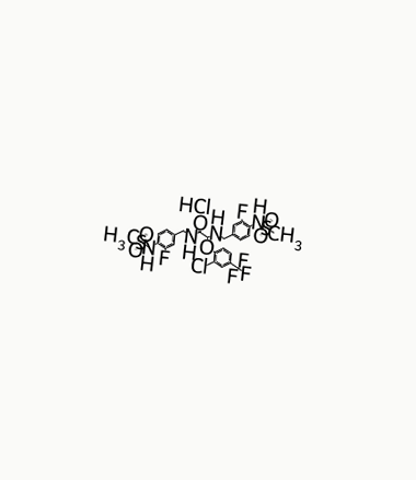 CS(=O)(=O)Nc1ccc(CNC(=O)C(NCc2ccc(NS(C)(=O)=O)c(F)c2)Oc2ccc(C(F)(F)F)cc2Cl)cc1F.Cl